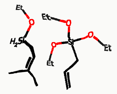 C=CC[Si](OCC)(OCC)OCC.CCO[SiH2]C=C(C)C